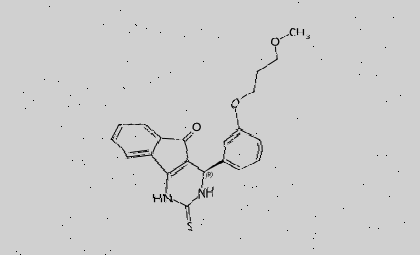 COCCCOc1cccc([C@H]2NC(=S)NC3=C2C(=O)c2ccccc23)c1